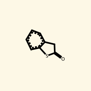 O=C1Cc2ccc[c]c2S1